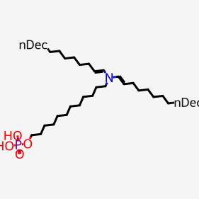 CCCCCCCCCCCCCCCCC=CN(C=CCCCCCCCCCCCCCCCC)CCCCCCCCCCCCOP(=O)(O)O